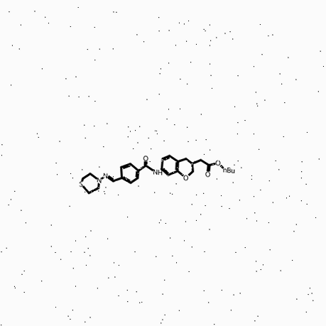 CCCCOC(=O)CC1COc2cc(NC(=O)c3ccc(/C=N/N4CCSCC4)cc3)ccc2C1